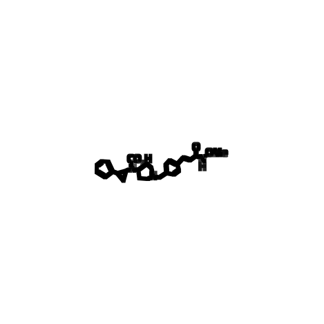 CONC(=O)/C=C/c1ccc(CN2CCC(N(C(=O)O)C3CC3c3ccccc3)CC2)cc1